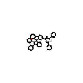 c1ccc(-c2nc(-c3ccccc3)nc(-c3ccc4c(c3)C(c3ccccc3)(c3cc5ccccc5c5ccccc35)c3ccccc3-4)n2)cc1